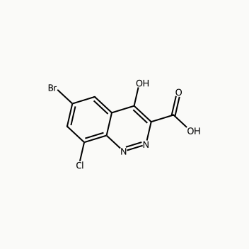 O=C(O)c1nnc2c(Cl)cc(Br)cc2c1O